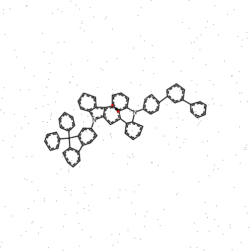 c1ccc(-c2cccc(-c3ccc(N(c4ccccc4)c4ccccc4-c4ccc5c6ccccc6n(-c6ccc7c(c6)C(c6ccccc6)(c6ccccc6)c6ccccc6-7)c5c4)cc3)c2)cc1